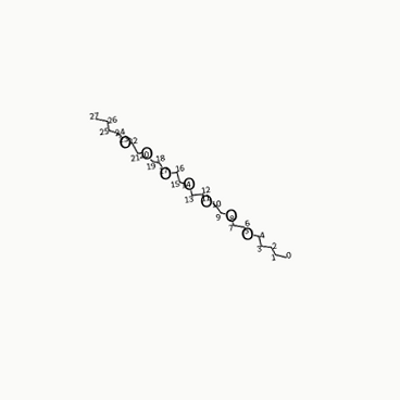 CCCCCOCCOCCOCCOCCOCCOCCOCCCC